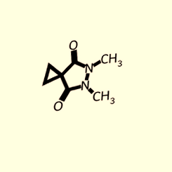 CN1C(=O)C2(CC2)C(=O)N1C